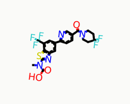 CN(C(=O)O)c1nc2cc(-c3ccc(C(=O)N4CCC(F)(F)CC4)cn3)cc(C(F)(F)F)c2s1